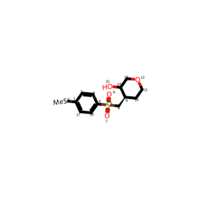 CSc1ccc(S(=O)(=O)C[C@@H]2CCOCC2O)cc1